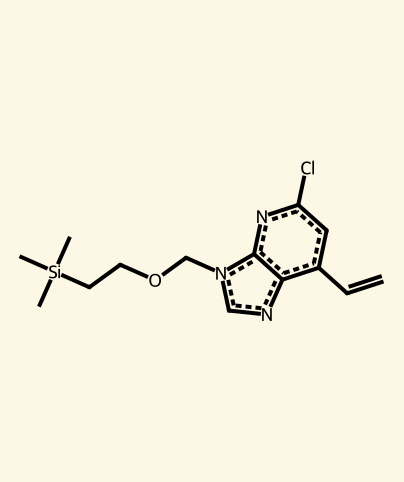 C=Cc1cc(Cl)nc2c1ncn2COCC[Si](C)(C)C